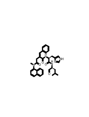 CC(C)C[C@@H](C=O)NC(=O)[C@H](Cc1c[nH]cn1)NC(=O)C(=Cc1ccccc1)CC(=O)N(C)c1cccc2ccccc12